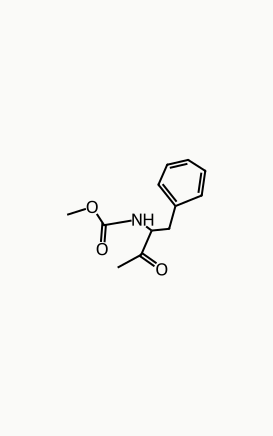 COC(=O)NC(Cc1ccccc1)C(C)=O